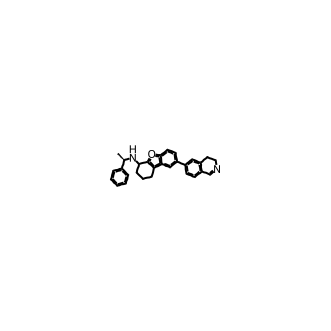 C[C@@H](NC1CCCc2c1oc1ccc(-c3ccc4c(c3)CCN=C4)cc21)c1ccccc1